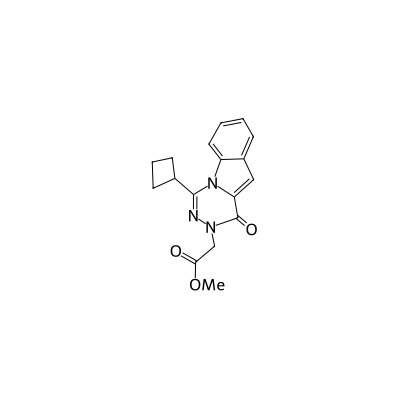 COC(=O)Cn1nc(C2CCC2)n2c(cc3ccccc32)c1=O